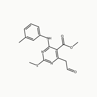 COC(=O)c1c(CC=O)nc(SC)nc1Nc1cccc(C)c1